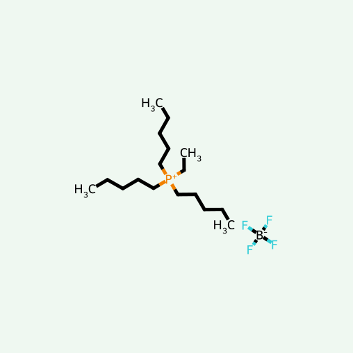 CCCCC[P+](CC)(CCCCC)CCCCC.F[B-](F)(F)F